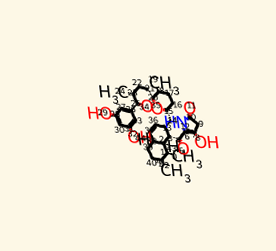 C[C@@H]1[C@@H]2[C@@H](C(=O)C3=C(O)CC(=O)N3)[C@H](C[C@H]3CC[C@@H](C)[C@@]4(CC[C@@H](C)[C@H](c5cc(O)cc(O)c5)O4)O3)C=C[C@@H]2CC[C@H]1C